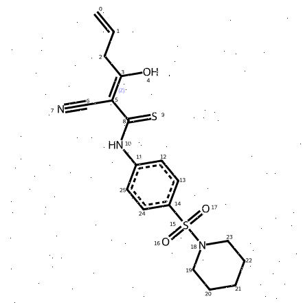 C=CC/C(O)=C(\C#N)C(=S)Nc1ccc(S(=O)(=O)N2CCCCC2)cc1